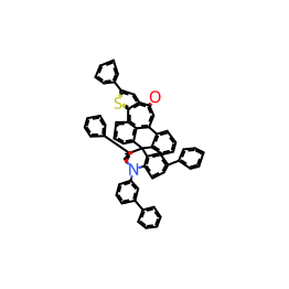 O=c1cc2c3c(cccc3c3sc(-c4ccccc4)cc13)C1(c3ccccc3-2)c2cc(-c3ccccc3)ccc2N(c2cccc(-c3ccccc3)c2)c2ccc(-c3ccccc3)cc21